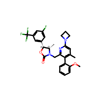 COc1ccccc1-c1c(C)cc(N2CCC2)nc1CN1C(=O)O[C@H](c2cc(F)cc(C(F)(F)F)c2)[C@@H]1C